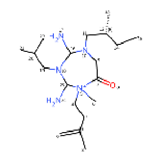 C=C(C)CC[N+]1(C)C(=O)CN(C[C@H](C)CC)C(N)N(CC(C)C)C1N